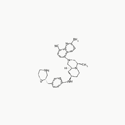 Bc1ccc2c(N3C[C@@H]4C[C@H](Nc5ccc(C[C@H]6CNCCO6)cc5)CCN4[C@H](C)C3)ccc(C#N)c2n1